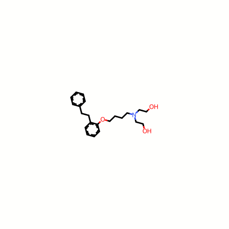 OCCN(CCO)CCCCOc1ccccc1CCc1ccccc1